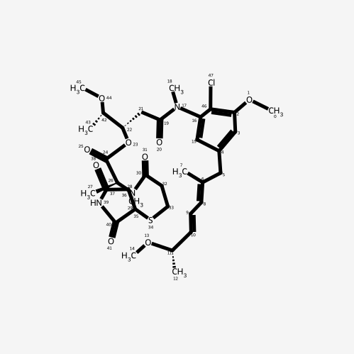 COc1cc(C/C(C)=C/C=C/[C@H](C)OC)cc(N(C)C(=O)C[C@H](OC(=O)[C@H](C)N(C)C(=O)CCSC2CC(=O)NC2=O)[C@H](C)OC)c1Cl